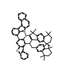 CC1(C)CCC(C)(C)c2cc(CC3C4=C(B5c6c(cc7oc8ccccc8c7c63)-c3cccc6c7c8ccccc8ccc7n5c36)C(C)(C)c3cc5c(cc34)C(C)(C)CCC5(C)C)ccc21